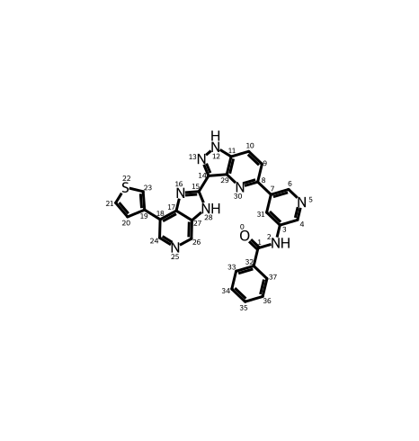 O=C(Nc1cncc(-c2ccc3[nH]nc(-c4nc5c(-c6ccsc6)cncc5[nH]4)c3n2)c1)c1ccccc1